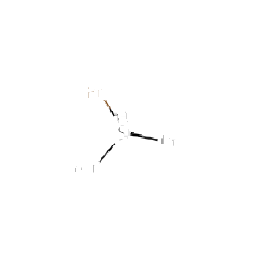 CCC[SiH](Br)C(C)C